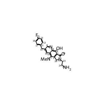 CNc1c2c(c(O)c3ncc(Cc4ccc(F)cc4)cc13)C(=O)N(CCN)C2